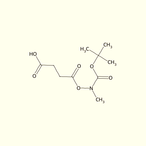 CN(OC(=O)CCC(=O)O)C(=O)OC(C)(C)C